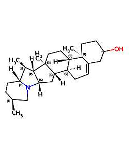 C[C@H]1CC[C@@H]2[C@@H](C)[C@H]3[C@H](C[C@H]4[C@@H]5CC=C6C[C](O)CC[C@]6(C)[C@H]5CC[C@]34C)N2C1